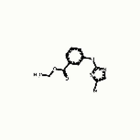 CCOC(=O)c1cccc(Oc2ncc(Br)s2)c1